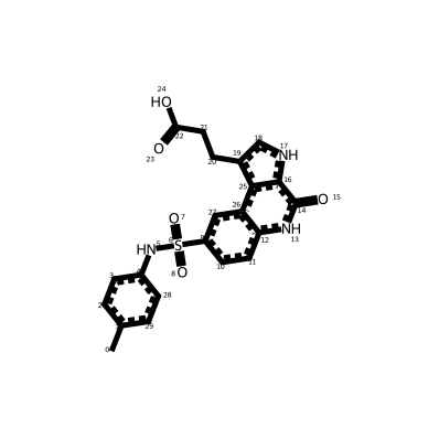 Cc1ccc(NS(=O)(=O)c2ccc3[nH]c(=O)c4[nH]cc(CCC(=O)O)c4c3c2)cc1